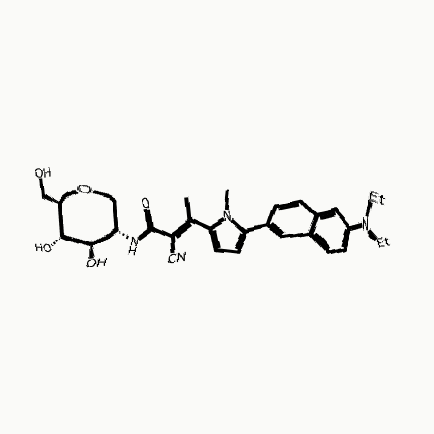 CCN(CC)c1ccc2cc(-c3ccc(/C(C)=C(\C#N)C(=O)N[C@H]4CO[C@H](CO)[C@@H](O)[C@@H]4O)n3C)ccc2c1